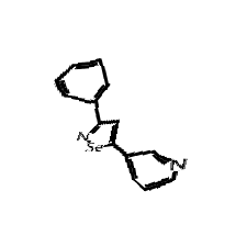 c1ccc(-c2cc(-c3cccnc3)[se]n2)cc1